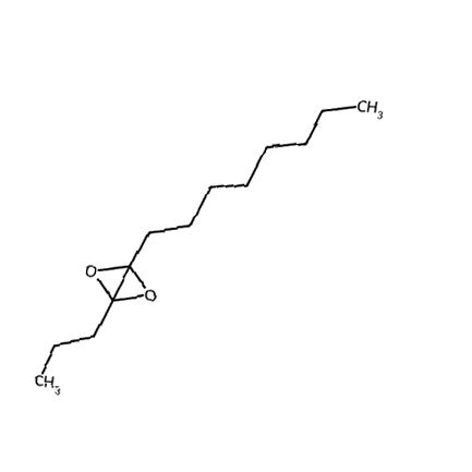 CCCCCCCCC12OC1(CCC)O2